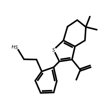 C=C(C)c1c(-c2ccccc2CCS)sc2c1CC(C)(C)CC2